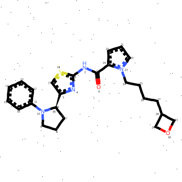 O=C(Nc1nc([C@H]2CCCN2c2ccccc2)cs1)c1cccn1CCCCC1COC1